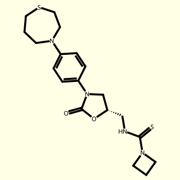 O=C1O[C@@H](CNC(=S)N2CCC2)CN1c1ccc(N2CCCSCC2)cc1